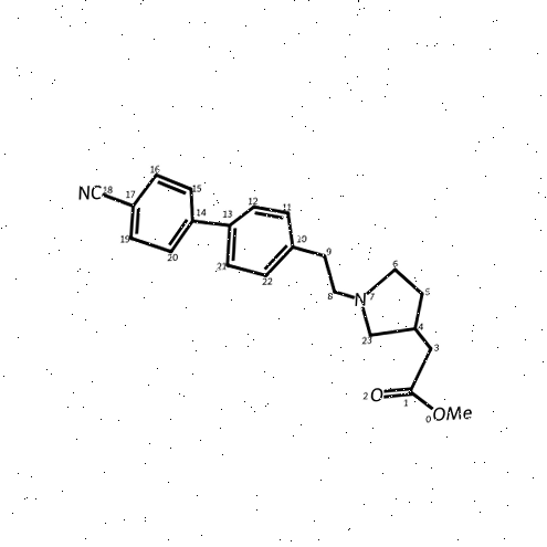 COC(=O)CC1CCN(CCc2ccc(-c3ccc(C#N)cc3)cc2)C1